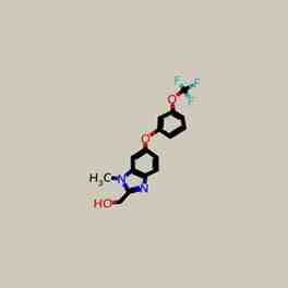 Cn1c(CO)nc2ccc(Oc3cccc(OC(F)(F)F)c3)cc21